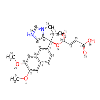 COc1cc2ccc([C@](OC(=O)/C=C/C(=O)O)(c3c[nH]cn3)C(C)C)cc2cc1OC